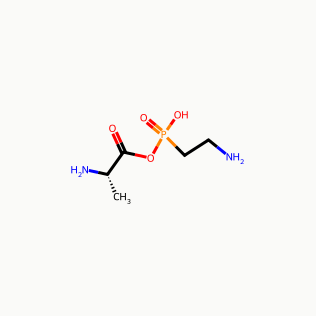 C[C@H](N)C(=O)OP(=O)(O)CCN